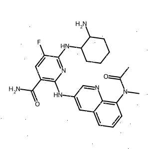 CC(=O)N(C)c1cccc2cc(Nc3nc(NC4CCCCC4N)c(F)cc3C(N)=O)cnc12